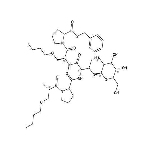 CCCCOC[C@H](NC(=O)[C@@H](NC(=O)C1CCCN1C(=O)[C@@H](C)COCCCC)C(C)O[C@@H]1OC(CO)[C@@H](O)C(O)C1N)C(=O)N1CCCC1C(=O)SCc1ccccc1